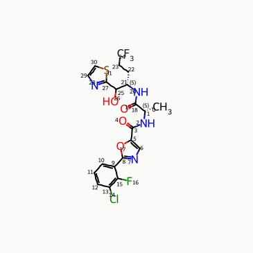 C[C@H](NC(=O)c1cnc(-c2cccc(Cl)c2F)o1)C(=O)N[C@@H](CCC(F)(F)F)C(O)c1nccs1